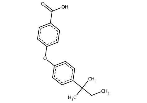 CCC(C)(C)c1ccc(Oc2ccc(C(=O)O)cc2)cc1